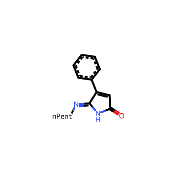 CCCCCN=C1NC(=O)C=C1c1ccccc1